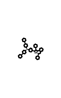 c1c(-c2nn3c(-c4ccccc4)cc4ccccc4c3c2-c2ccccc2)ccc(N(c2ccc(-c3ccccc3)cc2)c2ccc(-c3ccccc3)cc2)c#1